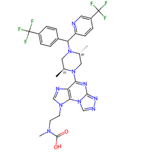 C[C@@H]1CN(c2nc3nncn3c3c2ncn3CCN(C)C(=O)O)[C@@H](C)CN1C(c1ccc(C(F)(F)F)cc1)c1ccc(C(F)(F)F)cn1